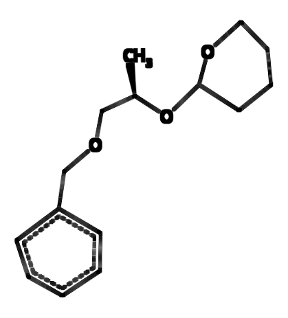 C[C@H](COCc1ccccc1)OC1CCCCO1